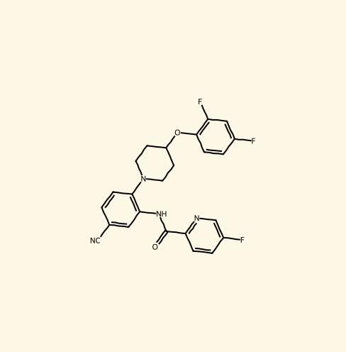 N#Cc1ccc(N2CCC(Oc3ccc(F)cc3F)CC2)c(NC(=O)c2ccc(F)cn2)c1